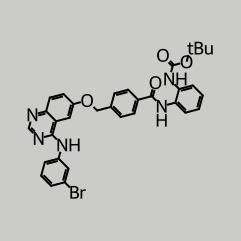 CC(C)(C)OC(=O)Nc1ccccc1NC(=O)c1ccc(COc2ccc3ncnc(Nc4cccc(Br)c4)c3c2)cc1